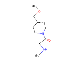 CC(C)(C)NCC(=O)N1CCC(COC(C)(C)C)CC1